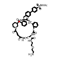 CC(=O)NS(=O)(=O)c1ccc(-c2ccc(C[C@@H]3NC(=O)[C@]4(Cc5ccccc5)CCCN(C4)C(=O)/C=C/C(=O)NCC[C@@H](C(=O)NCCOCCN)NC(=O)Cc4ccccc4CNC3=O)cc2)cc1